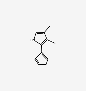 Cc1c[nH]c(C2=[C]CC=C2)c1C